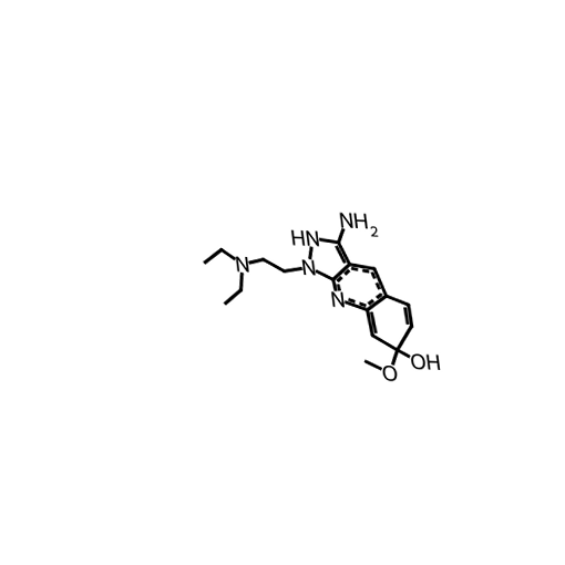 CCN(CC)CCN1NC(N)=c2cc3c(nc21)=CC(O)(OC)C=C3